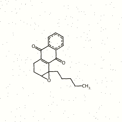 CCCCCC12OC1CCC1=C2C(=O)c2ccccc2C1=O